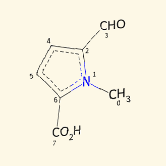 Cn1c(C=O)ccc1C(=O)O